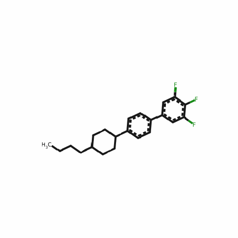 CCCCC1CCC(c2ccc(-c3cc(F)c(F)c(F)c3)cc2)CC1